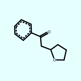 O=C(CC1CCCO1)c1ccccc1